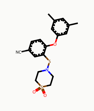 Cc1cc(C)cc(Oc2ccc(C#N)cc2SN2CCS(=O)(=O)CC2)c1